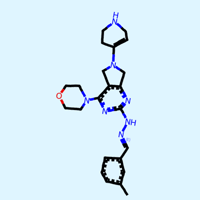 Cc1cccc(/C=N/Nc2nc3c(c(N4CCOCC4)n2)CN(C2=CCNCC2)C3)c1